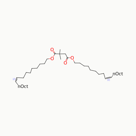 CCCCCCCC/C=C\CCCCCCCCOC(=O)CC(C)(C)C(=O)OCCCCCCCC/C=C\CCCCCCCC